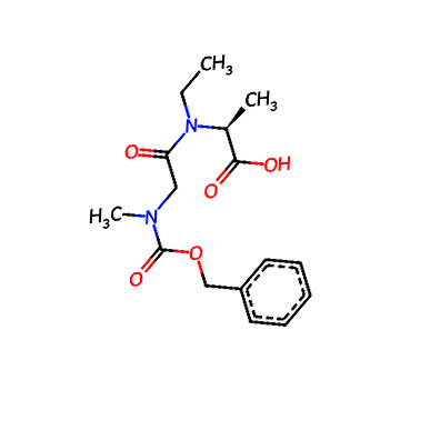 CCN(C(=O)CN(C)C(=O)OCc1ccccc1)[C@@H](C)C(=O)O